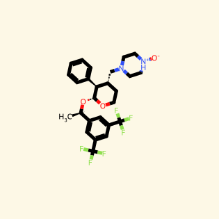 C[C@@H](O[C@H]1OCC[C@@H](CN2CC[NH+]([O-])CC2)[C@@H]1c1ccccc1)c1cc(C(F)(F)F)cc(C(F)(F)F)c1